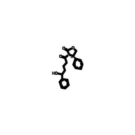 O=C(CCCC(O)c1ccccc1)N1C(=O)OC[C@H]1c1ccccc1